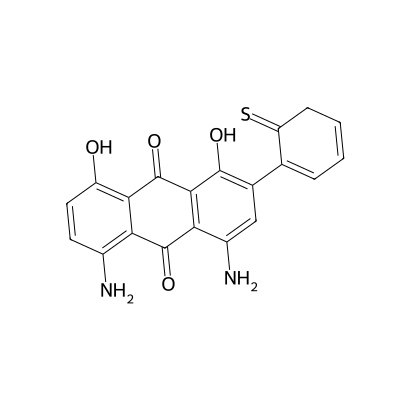 Nc1ccc(O)c2c1C(=O)c1c(N)cc(C3=CC=CCC3=S)c(O)c1C2=O